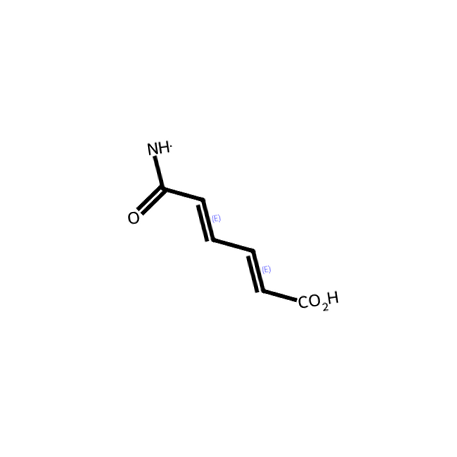 [NH]C(=O)/C=C/C=C/C(=O)O